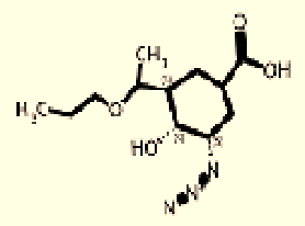 CCCOC(C)[C@H]1CC(C(=O)O)C[C@H](N=[N+]=[N-])[C@@H]1O